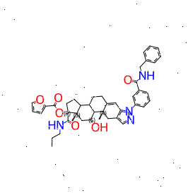 CCCNC(=O)[C@@]1(OC(=O)c2ccco2)CCC2C3CCC4=Cc5c(cnn5-c5cccc(C(=O)NCc6ccccc6)c5)C[C@]4(C)C3[C@@H](O)C[C@@]21C